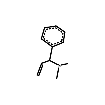 C=CC(c1ccccc1)[Si](C)C